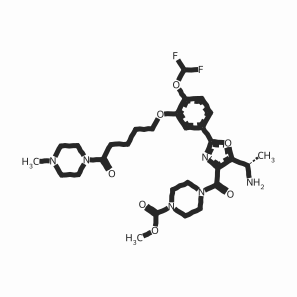 COC(=O)N1CCN(C(=O)c2nc(-c3ccc(OC(F)F)c(OCCCCC(=O)N4CCN(C)CC4)c3)oc2[C@H](C)N)CC1